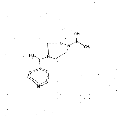 CB(O)N1CCN(C(C)c2ccncc2)CC1